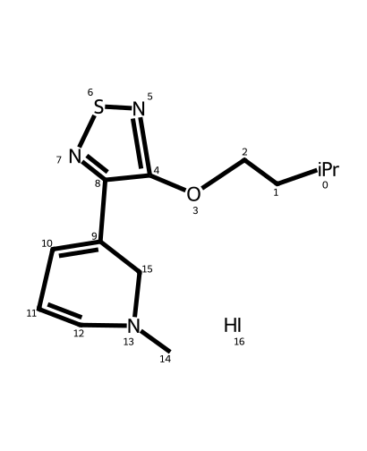 CC(C)CCOc1nsnc1C1=CC=CN(C)C1.I